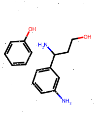 Nc1cccc(C(N)CCO)c1.Oc1ccccc1